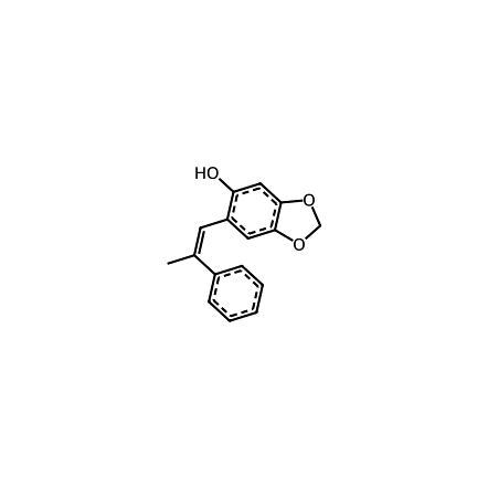 C/C(=C/c1cc2c(cc1O)OCO2)c1ccccc1